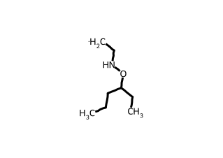 [CH2]CNOC(CC)CCC